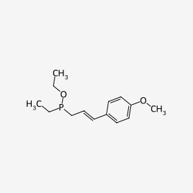 CCOP(CC)CC=Cc1ccc(OC)cc1